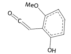 COc1cccc(O)c1C=C=O